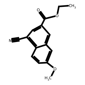 CCOC(=O)c1cc(C#N)c2ccc(OC)cc2c1